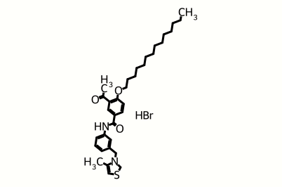 Br.CCCCCCCCCCCCCCOc1ccc(C(=O)Nc2cccc(CN3CSC=C3C)c2)cc1C(C)=O